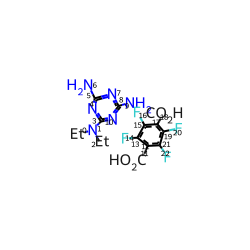 CCN(CC)c1nc(N)nc(N)n1.O=C(O)c1c(F)c(F)c(C(=O)O)c(F)c1F